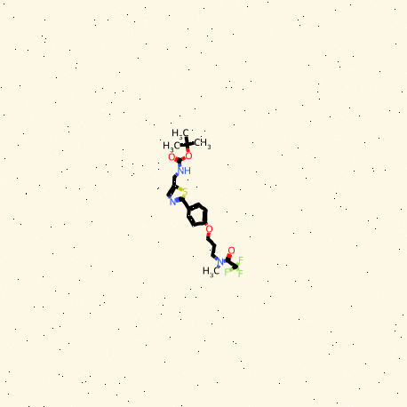 CN(CCCOc1ccc(-c2ncc(CNC(=O)OC(C)(C)C)s2)cc1)C(=O)C(F)(F)F